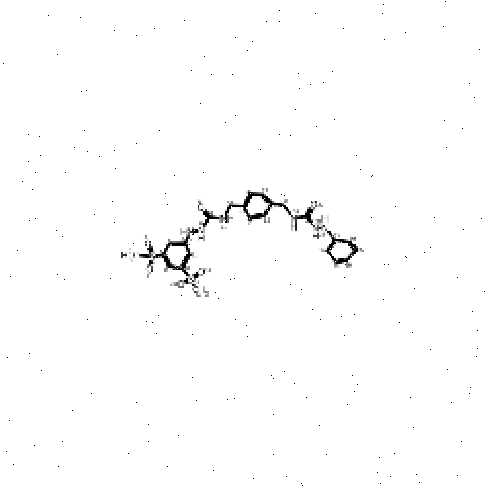 CS(=O)(=O)c1cc(NNC(=O)NCc2ccc(CNC(=O)NNc3ccccc3)cc2)cc(S(C)(=O)=O)c1